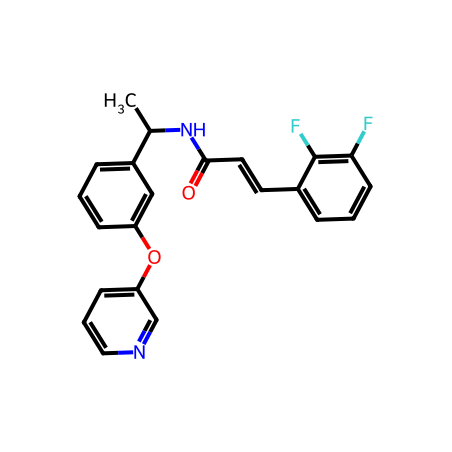 CC(NC(=O)C=Cc1cccc(F)c1F)c1cccc(Oc2cccnc2)c1